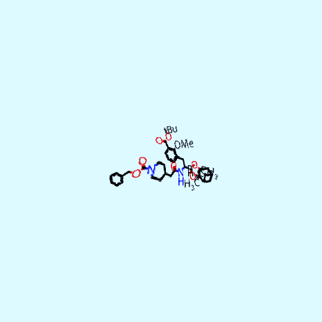 COc1c(CC(NC(=O)CC2CCN(C(=O)OCc3ccccc3)CC2)B2OC3CC4CC(C4(C)C)C3(C)O2)cccc1C(=O)OC(C)(C)C